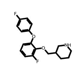 Fc1ccc(Oc2cccc(F)c2OCC2CCCNC2)cc1